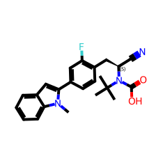 Cn1c(-c2ccc(C[C@@H](C#N)N(C(=O)O)C(C)(C)C)c(F)c2)cc2ccccc21